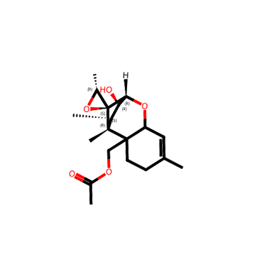 CC(=O)OCC12CCC(C)=CC1O[C@@H]1[C@H](O)[C@@H](C)[C@@]2(C)[C@@]12O[C@@H]2C